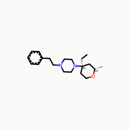 CC[C@@]1(N2CCN(CCc3ccccc3)CC2)CCO[C@@H](C)C1